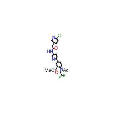 COC(=O)c1cc(-c2ccc(NC(=O)Cc3ccc(Cl)nc3)cn2)ccc1N(CC(F)F)C(C)=O